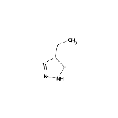 CCC1[C]=NN[CH]1